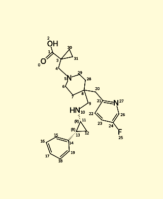 O=C(O)C1(CN2CCC(CN[C@@H]3C[C@@H]3c3ccccc3)(Cc3ccc(F)cn3)CC2)CC1